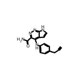 C#CCc1ccc(Nc2c(C(N)=O)nnc3[nH]ccc23)cc1